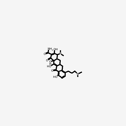 CN(C)CCCc1ccc(O)c2c1CC1CC3C(N(C)C)C(O)=C(C(N)=O)C(=O)C3(O)C(O)=C1C2=O